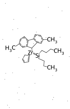 CCCC[Si](CCCC)=[Zr]([C]1=CC=CC1)[CH]1c2cc(C)ccc2-c2ccc(C)cc21